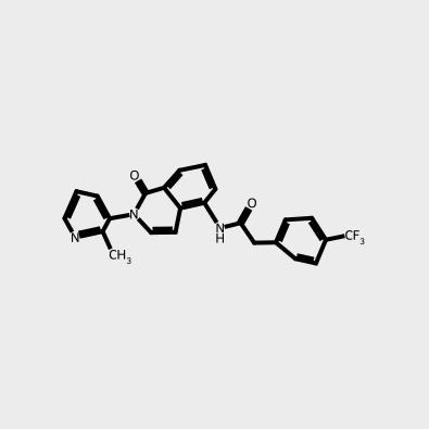 Cc1ncccc1-n1ccc2c(NC(=O)Cc3ccc(C(F)(F)F)cc3)cccc2c1=O